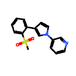 CS(=O)(=O)c1ccccc1-c1ccn(-c2cccnc2)c1